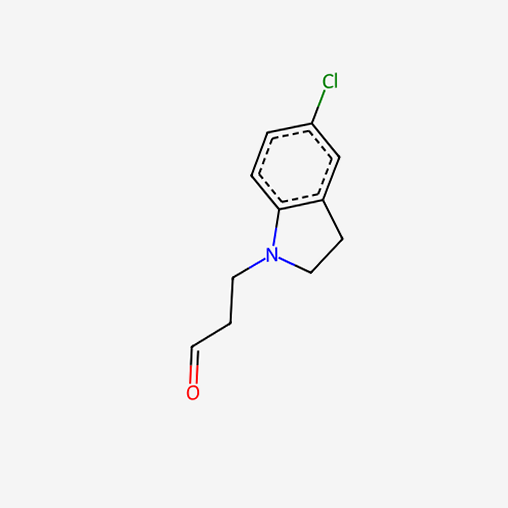 O=CCCN1CCc2cc(Cl)ccc21